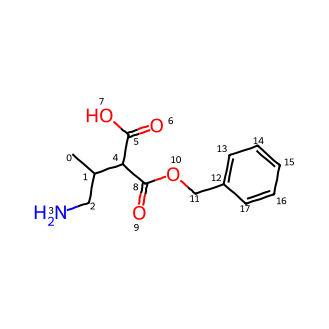 CC(CN)C(C(=O)O)C(=O)OCc1ccccc1